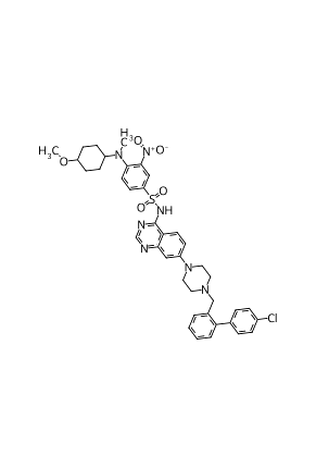 COC1CCC(N(C)c2ccc(S(=O)(=O)Nc3ncnc4cc(N5CCN(Cc6ccccc6-c6ccc(Cl)cc6)CC5)ccc34)cc2[N+](=O)[O-])CC1